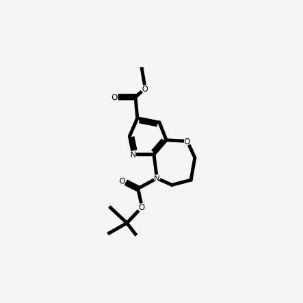 COC(=O)c1cnc2c(c1)OCCCN2C(=O)OC(C)(C)C